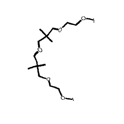 CC(C)(COCCOI)COCC(C)(C)COCCOI